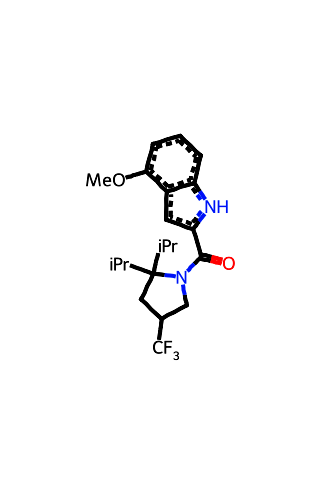 COc1cccc2[nH]c(C(=O)N3CC(C(F)(F)F)CC3(C(C)C)C(C)C)cc12